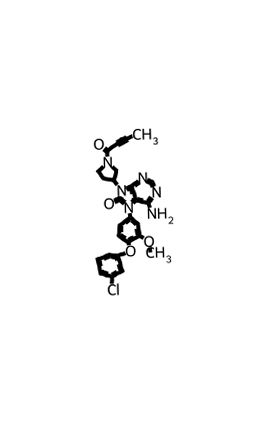 CC#CC(=O)N1CCC(n2c(=O)n(-c3ccc(Oc4cccc(Cl)c4)c(OC)c3)c3c(N)ncnc32)C1